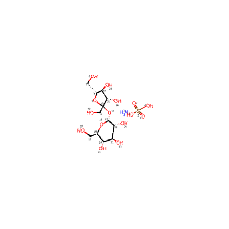 N.O=S(=O)(O)O.OC[C@H]1O[C@@](CO)(O[C@H]2O[C@H](CO)[C@@H](O)[C@H](O)[C@H]2O)[C@@H](O)[C@@H]1O